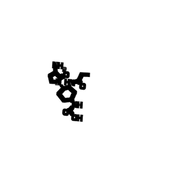 CCC(=O)N[C@@H]1CC(NC(=O)O)CC[C@@H]1N1CCC(N)C1=O